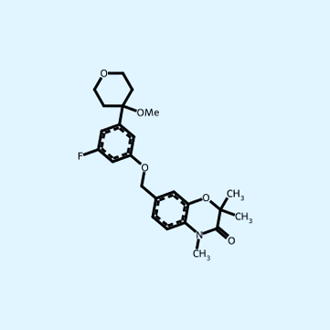 COC1(c2cc(F)cc(OCc3ccc4c(c3)OC(C)(C)C(=O)N4C)c2)CCOCC1